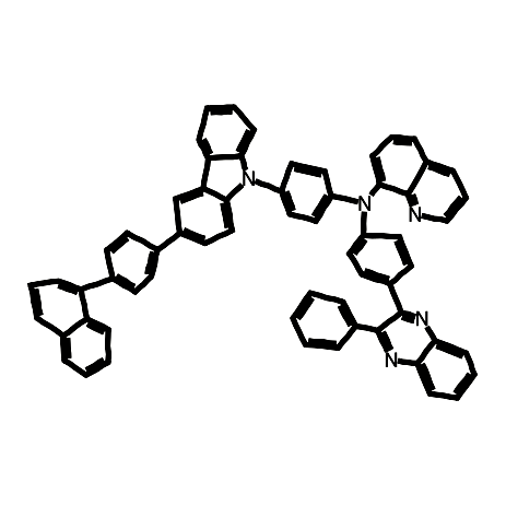 c1ccc(-c2nc3ccccc3nc2-c2ccc(N(c3ccc(-n4c5ccccc5c5cc(-c6ccc(-c7cccc8ccccc78)cc6)ccc54)cc3)c3cccc4cccnc34)cc2)cc1